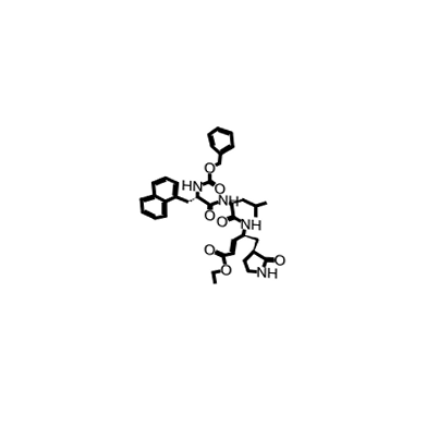 CCOC(=O)/C=C/[C@H](C[C@@H]1CCNC1=O)NC(=O)[C@H](CC(C)C)NC(=O)[C@H](Cc1cccc2ccccc12)NC(=O)OCc1ccccc1